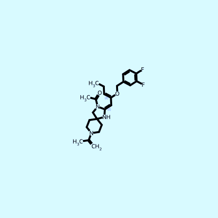 C=C(C)N1CCC2(CC1)CN(C(C)=O)/C(=C\C(=C\CC)OCc1ccc(F)c(F)c1)N2